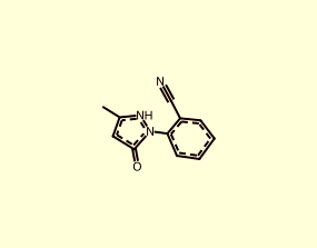 Cc1cc(=O)n(-c2ccccc2C#N)[nH]1